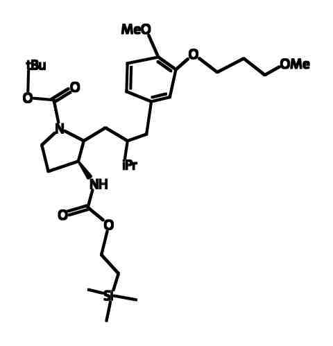 COCCCOc1cc(CC(CC2[C@@H](NC(=O)OCC[Si](C)(C)C)CCN2C(=O)OC(C)(C)C)C(C)C)ccc1OC